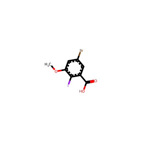 COc1cc(Br)cc(C(=O)O)c1I